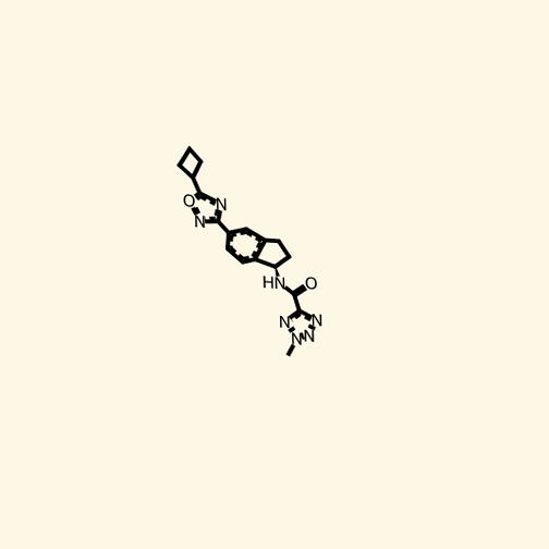 Cn1nnc(C(=O)N[C@@H]2CCc3cc(-c4noc(C5CCC5)n4)ccc32)n1